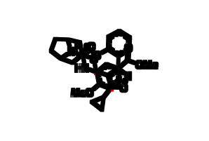 COC(=O)c1ccc(OC)c(NC(=O)N2C3CCC2CC(OCc2c(-c4ccccc4OC(F)(F)F)noc2C2CC2)C3)c1